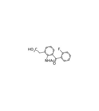 CC(=O)Nc1c(CC(=O)O)cccc1C(=O)c1ccccc1F